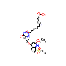 CCOc1cc(O[C@@H]2C[C@@H](C(N)=O)N(C(=O)CCCCCC/C=C\[C@@H]3C[C@@H]3C(=O)O)C2)c2cccc(S(C)(=O)=O)c2n1